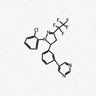 FC(F)(F)C(F)(F)C1=NN(c2ccccc2Cl)C(c2cccc(-c3cncnc3)c2)C1